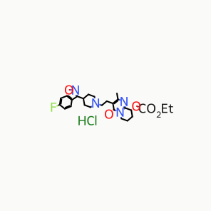 CCOC(=O)OC1CCCn2c1nc(C)c(CCN1CCC(c3noc4cc(F)ccc34)CC1)c2=O.Cl